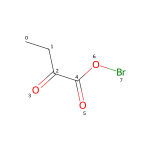 CCC(=O)C(=O)OBr